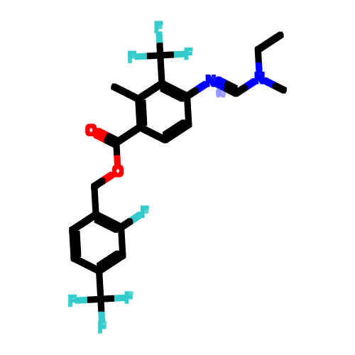 CCN(C)/C=N/c1ccc(C(=O)OCc2ccc(C(F)(F)F)cc2F)c(C)c1C(F)(F)F